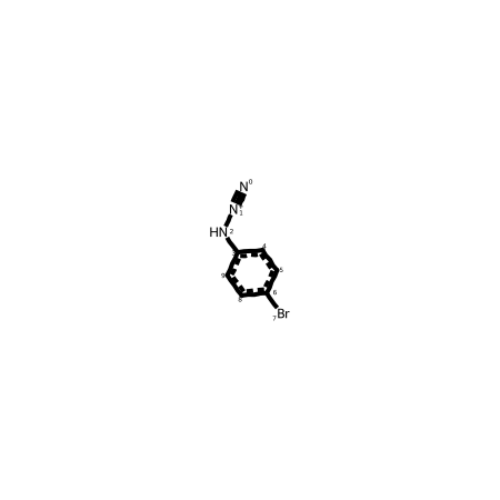 N#[N+]Nc1ccc(Br)cc1